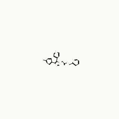 O=C(Cn1cnc(-c2ccc(Cl)cc2)c1-c1ccncc1)NCc1ccccn1